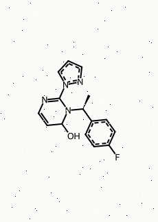 C[C@@H](c1ccc(F)cc1)N1C(n2cccn2)=NC=CC1O